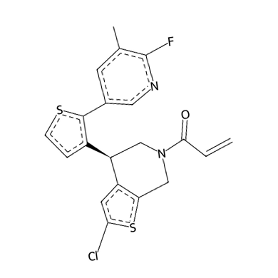 C=CC(=O)N1Cc2sc(Cl)cc2[C@@H](c2ccsc2-c2cnc(F)c(C)c2)C1